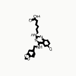 O=C(O)CCCCCNc1nc(NCc2ccc3c(c2)OCO3)c2cc(Cl)ccc2n1